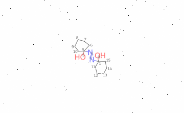 OC1(/N=N/C2(O)CCCCC2)CCCCC1